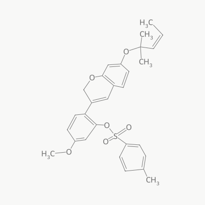 C/C=C\C(C)(C)Oc1ccc2c(c1)OCC(c1ccc(OC)cc1OS(=O)(=O)c1ccc(C)cc1)=C2